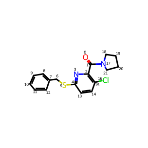 O=C(c1nc(SCc2ccccc2)ccc1Cl)N1CCCC1